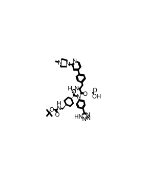 CN1CCN(c2cc(-c3ccc(C[C@H](N)C(=O)N(c4ccc(-c5nnn[nH]5)cc4)C(=O)[C@H]4CC[C@H](CNC(=O)OC(C)(C)C)CC4)cc3)ccn2)CC1.O=CO